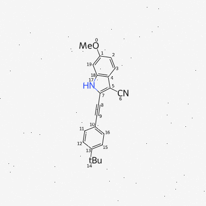 COc1ccc2c(C#N)c(C#Cc3ccc(C(C)(C)C)cc3)[nH]c2c1